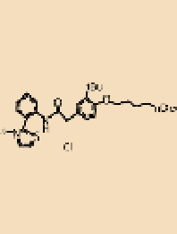 CCCCCCCCCCCCCCOc1ccc(CC(=O)Nc2ccccc2-c2scc[n+]2CC)cc1C(C)(C)C.[Cl-]